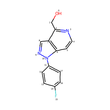 OCc1nccc2c1cnn2-c1ccc(F)cc1